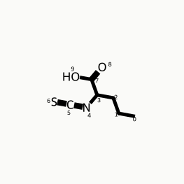 CCCC(N=C=S)C(=O)O